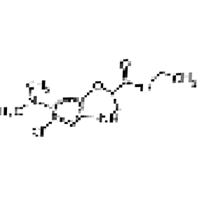 CCOC(=O)C1CNc2cc(Cl)c(N(C)C)cc2O1